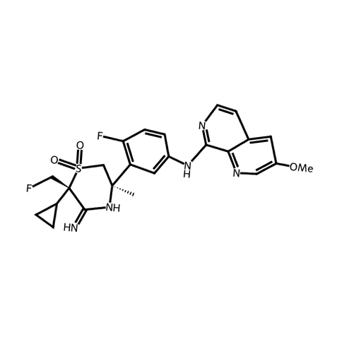 COc1cnc2c(Nc3ccc(F)c([C@]4(C)CS(=O)(=O)[C@@](CF)(C5CC5)C(=N)N4)c3)nccc2c1